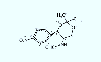 CC1(C)OC[C@H](NC=O)[C@@H](c2ccc([N+](=O)[O-])cc2)O1